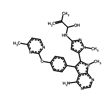 C=C(C)C(O)Nc1cc(-c2c(-c3ccc(Oc4nccc(C)n4)cc3)c3c(N)ncnc3n2C)n(C)n1